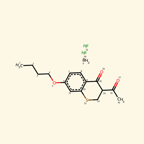 B.CCCCOc1ccc2c(c1)SCC(C(C)=O)C2=O.F.F